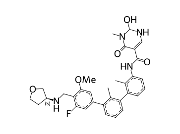 COc1cc(-c2cccc(-c3cccc(NC(=O)C4=CNC(O)N(C)C4=O)c3C)c2C)cc(F)c1CN[C@H]1CCOC1